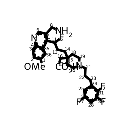 COc1ccc2ncc(CN)c(C(F)CCC3(CC(=O)O)CCN(CCCc4cc(F)cc(F)c4F)CC3)c2c1